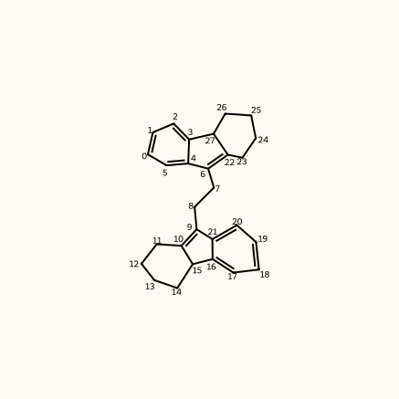 c1ccc2c(c1)C(CCC1=C3CCCCC3c3ccccc31)=C1CCCCC12